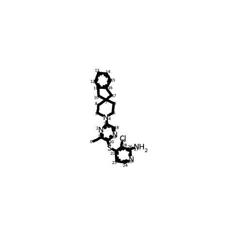 Cc1nc(N2CCC3(CC2)Cc2ccccc2C3)cnc1Sc1ccnc(N)c1Cl